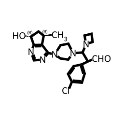 C[C@@H]1C[C@@H](O)c2ncnc(N3CCN(C(C(C=O)c4ccc(Cl)cc4)N4CCC4)CC3)c21